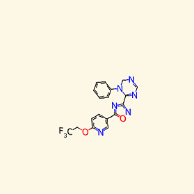 FC(F)(F)COc1ccc(-c2nc(C3=NC=NCN3c3ccccc3)no2)cn1